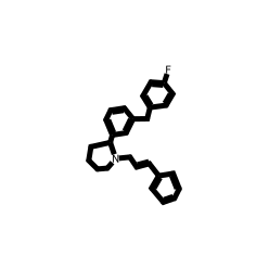 Fc1ccc(Cc2cccc(C3CCCCN3CC=Cc3ccccc3)c2)cc1